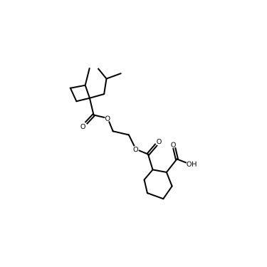 CC(C)CC1(C(=O)OCCOC(=O)C2CCCCC2C(=O)O)CCC1C